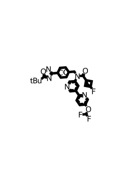 CC(C)(C)c1nc(C23CCC(CN(C(=O)C45CC(F)(C4)C5)c4cncc(-c5ccc(OC(F)F)cn5)c4)(CC2)CC3)no1